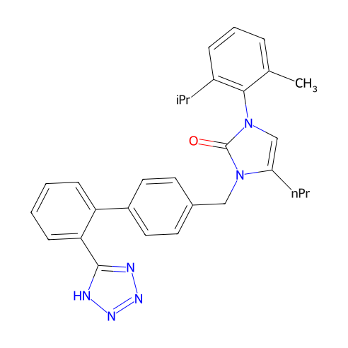 CCCc1cn(-c2c(C)cccc2C(C)C)c(=O)n1Cc1ccc(-c2ccccc2-c2nnn[nH]2)cc1